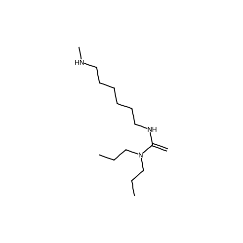 C=C(NCCCCCCNC)N(CCC)CCC